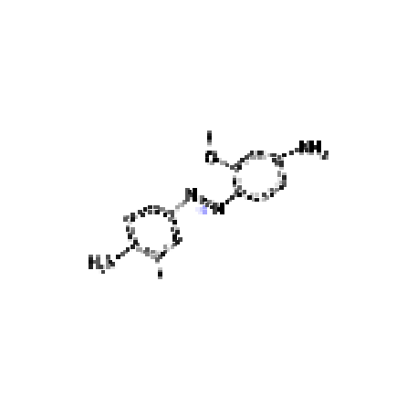 COc1cc(N)ccc1/N=N/c1ccc(N)c(C)c1